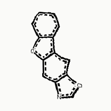 c1ccc2c(c1)oc1cc3ncoc3cc12